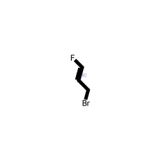 F/C=C/CBr